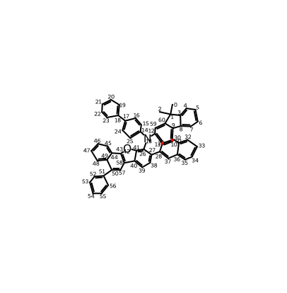 CC1(C)c2ccccc2-c2ccc(N(c3ccc(-c4ccccc4)cc3)c3c(-c4ccc5ccccc5c4)ccc4c3oc3c5ccccc5c(-c5ccccc5)cc43)cc21